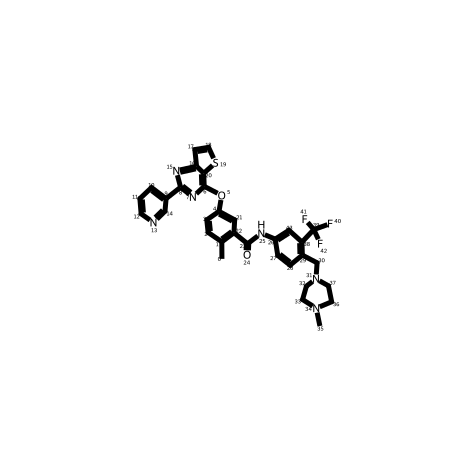 Cc1ccc(Oc2nc(-c3cccnc3)nc3ccsc23)cc1C(=O)Nc1ccc(CN2CCN(C)CC2)c(C(F)(F)F)c1